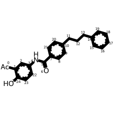 CC(=O)c1cc(NC(=O)c2ccc(CCCc3ccccc3)cc2)ccc1O